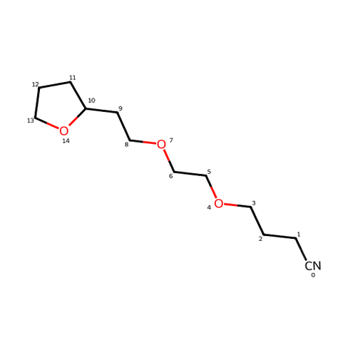 N#CCCCOCCOCCC1CCCO1